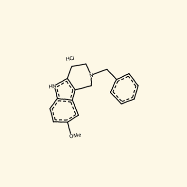 COc1ccc2[nH]c3c(c2c1)CN(Cc1ccccc1)CC3.Cl